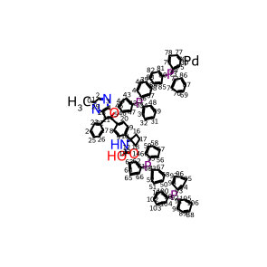 Cc1cnc2oc(-c3ccc(C4(NC(=O)O)CCC4)cc3)c(-c3ccccc3)c2n1.[Pd].c1ccc(P(c2ccccc2)c2ccccc2)cc1.c1ccc(P(c2ccccc2)c2ccccc2)cc1.c1ccc(P(c2ccccc2)c2ccccc2)cc1.c1ccc(P(c2ccccc2)c2ccccc2)cc1